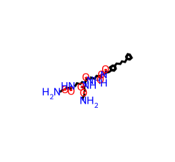 NCCOCC(=O)NCCCC[C@H](NC(=O)COCCN)C(=O)NCCCC(=O)ONC(=O)Cc1ccc(CCCCc2ccccc2)cc1